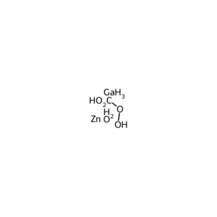 O.O=C(O)OO.[GaH3].[Zn]